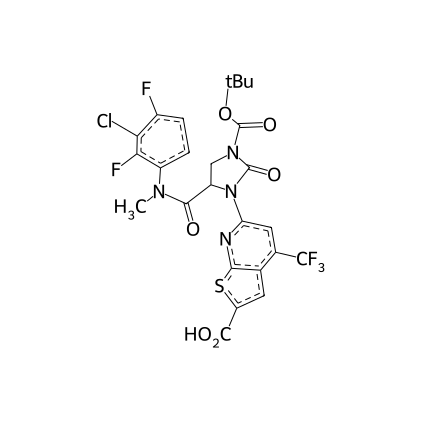 CN(C(=O)C1CN(C(=O)OC(C)(C)C)C(=O)N1c1cc(C(F)(F)F)c2cc(C(=O)O)sc2n1)c1ccc(F)c(Cl)c1F